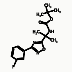 CC(C)(C)OC(=O)NC(C)(C)c1nc(-c2cccc(F)c2)no1